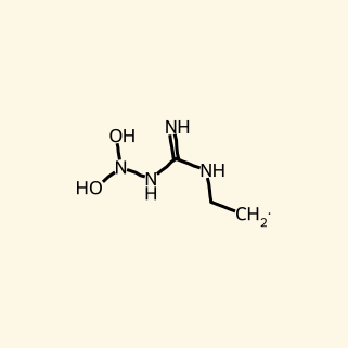 [CH2]CNC(=N)NN(O)O